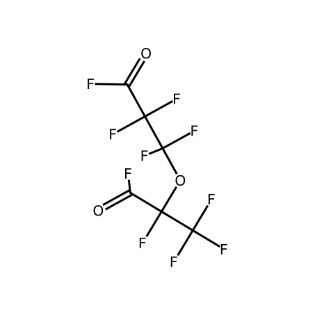 O=C(F)C(F)(F)C(F)(F)OC(F)(C(=O)F)C(F)(F)F